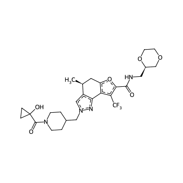 C[C@H]1Cc2oc(C(=O)NC[C@@H]3COCCO3)c(C(F)(F)F)c2-c2nn(CC3CCN(C(=O)C4(O)CC4)CC3)cc21